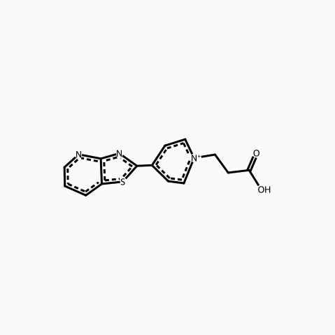 O=C(O)CC[n+]1ccc(-c2nc3ncccc3s2)cc1